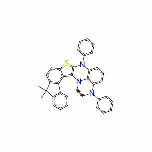 CC1(C)c2ccccc2-c2c1ccc1sc3c(c21)N1c2ccccc2N(c2ccccc2)c2cccc(c21)N3c1ccccc1